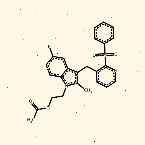 CC(=O)OCCn1c(C)c(Cc2cccnc2S(=O)(=O)c2ccccc2)c2cc(F)ccc21